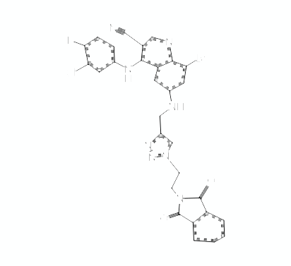 N#Cc1cnc2c(Br)cc(NCc3cn(CCN4C(=O)c5ccccc5C4=O)nn3)cc2c1Nc1ccc(F)c(Cl)c1